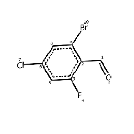 O=Cc1c(F)cc(Cl)cc1Br